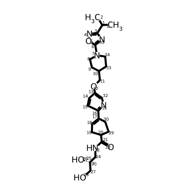 CC(C)c1noc(N2CCC(COc3ccc(C4=CCC(C(=O)NC[C@@H](O)CO)CC4)nc3)CC2)n1